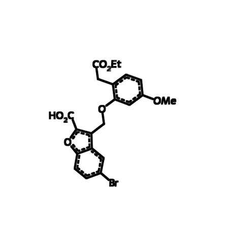 CCOC(=O)Cc1ccc(OC)cc1OCc1c(C(=O)O)oc2ccc(Br)cc12